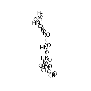 O=C(CCCCCC(=O)N1CCN(c2ccc(NC3CCC(=O)NC3=O)cc2)CC1)NCCOCCNC(=O)c1cc(NC(=O)c2cc(-c3ccccn3)c(Cl)cc2Cl)n(-c2ccccc2)n1